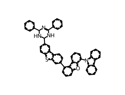 c1ccc(C2=NC(c3ccccc3)NC(c3ccc4sc5cc(-c6cccc7oc8c(-n9c%10ccccc%10c%10ccccc%109)cccc8c67)ccc5c4c3)N2)cc1